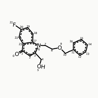 O=c1cc(CO)n(CCOCc2ccccc2)c2ccc(F)cc12